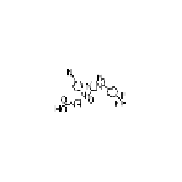 N#Cc1ccc(N(CCNC(=O)O)C(=O)c2cn3c(-c4ccc(C(F)(F)F)cc4)cnc3cn2)cc1